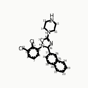 Clc1cccc(N2OC(N3CCNCC3)=NC2c2ccc3ccccc3c2)c1Cl